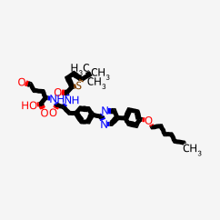 CCCCCCCOc1ccc(-c2cnc(-c3ccc(CC(NC(=O)c4ccc(C(C)(C)C)s4)C(=O)NC(CCC=O)C(=O)O)cc3)nc2)cc1